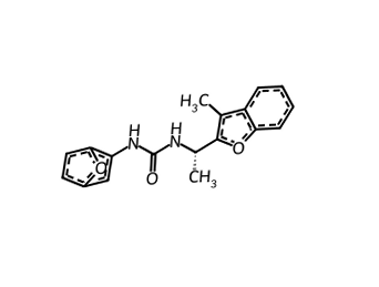 Cc1c([C@H](C)NC(=O)Nc2cc3ccc2o3)oc2ccccc12